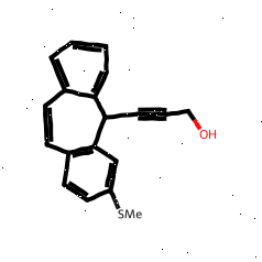 CSc1ccc2c(c1)C(C#CCO)c1ccccc1C=C2